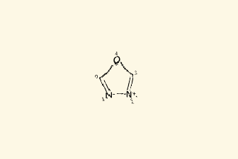 C1=N[N+]=CO1